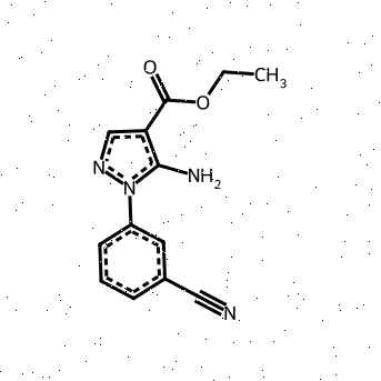 CCOC(=O)c1cnn(-c2cccc(C#N)c2)c1N